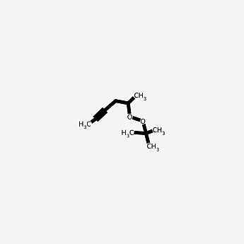 CC#CCC(C)OOC(C)(C)C